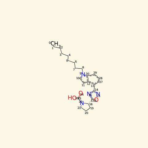 CCCCCCCCCn1ccc2c(-c3noc([C@@H]4CCCN4C(=O)O)n3)cccc21